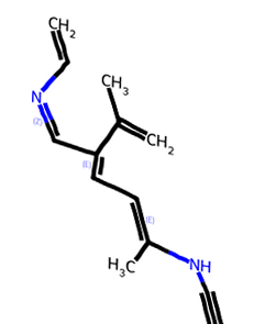 C#CN/C(C)=C/C=C(/C=N\C=C)C(=C)C